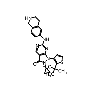 CC(C)(C)c1sccc1-n1c2nc(Nc3ccc4c(c3)CCNC4)ncc2c(=O)n1C1CC1